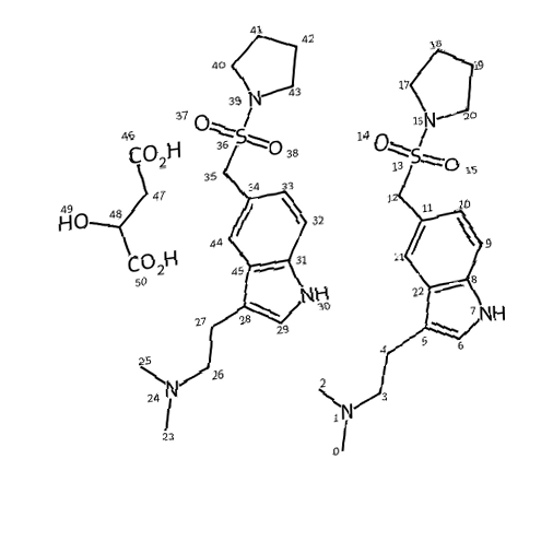 CN(C)CCc1c[nH]c2ccc(CS(=O)(=O)N3CCCC3)cc12.CN(C)CCc1c[nH]c2ccc(CS(=O)(=O)N3CCCC3)cc12.O=C(O)CC(O)C(=O)O